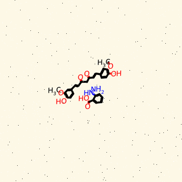 COc1cc(/C=C/C(=O)CC(=O)/C=C/c2ccc(O)c(OC)c2)ccc1O.NNc1ccccc1C(=O)O